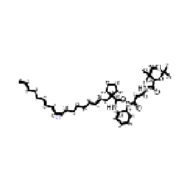 CCCCCCCC/C=C\CCCCCCCCC1(C(=O)N[C@H]2CCCC[C@@H]2OC(=O)CCNC(=O)C2OC(C)(C)OCC2(C)C)CCCC1